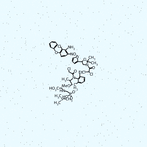 CC1(C)OC(c2ccco2)CN1C(=O)C(Cl)Cl.CCc1cccc(C)c1N(C(=O)CCl)C(C)COC.C[S+](C)C.Nc1c([N+](=O)[O-])ccc(Oc2ccccc2)c1Cl.O=C(O)CNCP(=O)([O-])O